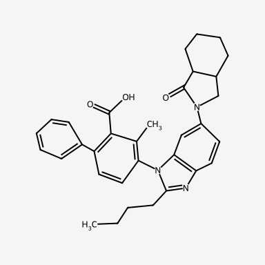 CCCCc1nc2ccc(N3CC4CCCCC4C3=O)cc2n1-c1ccc(-c2ccccc2)c(C(=O)O)c1C